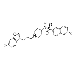 O=S(=O)(NC1CCN(CCCc2noc3cc(F)ccc23)CC1)c1ccc2cc(Cl)ccc2c1